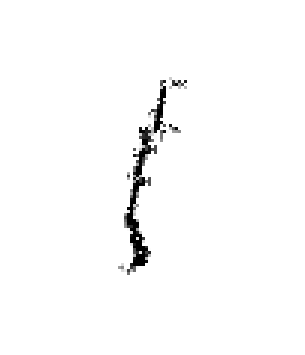 CCCCCCCCCCCCCCCCCC(=O)OCC(COP(=O)(O)OCCNC(=O)OCCOCC(=O)NCCOCCOCCOc1ccc(-c2ccc(C3=Nc4cc(C)ccc4OC3)cc2)cn1)OC(C)=O